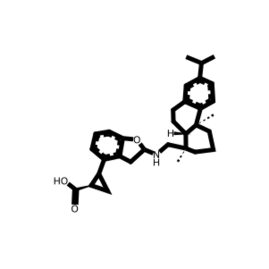 CC(C)c1ccc2c(c1)CC[C@H]1[C@](C)(CNC3Cc4c(cccc4C4C[C@H]4C(=O)O)O3)CCC[C@]21C